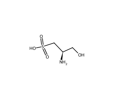 N[C@H](CO)CS(=O)(=O)O